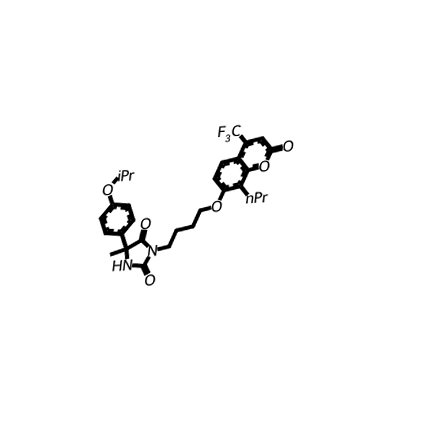 CCCc1c(OCCCCN2C(=O)NC(C)(c3ccc(OC(C)C)cc3)C2=O)ccc2c(C(F)(F)F)cc(=O)oc12